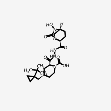 CC(C)(C)C1(C[C@@H]2CCN(C(=O)O)[C@H](C(=O)NNC(=O)[C@@H]3CC[C@@H]4CN3C(=O)N4O)C2)CC1